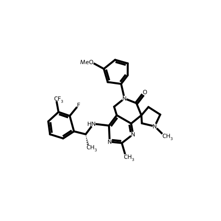 COc1cccc(N2Cc3c(N[C@H](C)c4cccc(C(F)(F)F)c4F)nc(C)nc3C3(CCN(C)C3)C2=O)c1